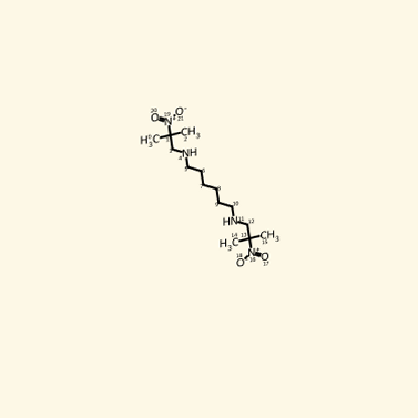 CC(C)(CNCCCCCCNCC(C)(C)[N+](=O)[O-])[N+](=O)[O-]